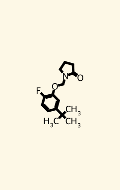 CC(C)(C)c1ccc(F)c(OCN2CCCC2=O)c1